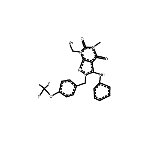 CC(C)Cn1c(=O)n(C)c(=O)c2c(Nc3ccccc3)n(Cc3ccc(OC(C)(F)F)cc3)nc21